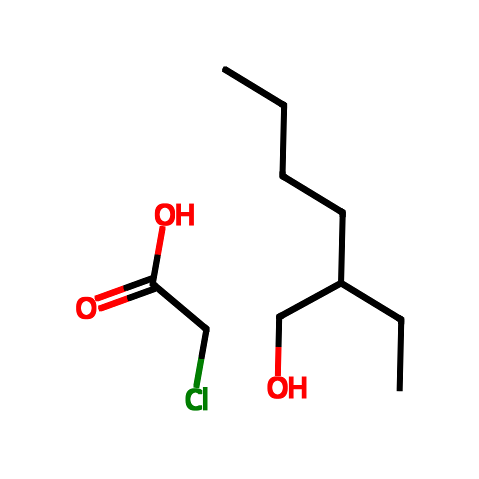 CCCCC(CC)CO.O=C(O)CCl